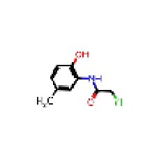 Cc1ccc(O)c(NC(=O)CCl)c1